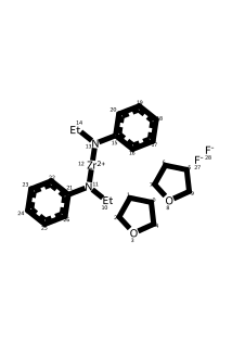 C1CCOC1.C1CCOC1.CC[N]([Zr+2][N](CC)c1ccccc1)c1ccccc1.[F-].[F-]